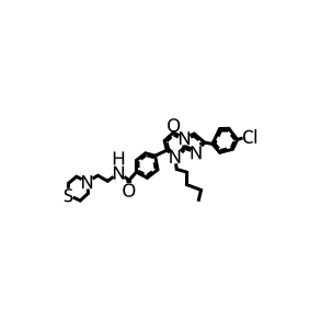 CCCCCn1c(-c2ccc(C(=O)NCCN3CCSCC3)cc2)cc(=O)n2cc(-c3ccc(Cl)cc3)nc12